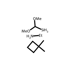 CC1(C)CCC1.CCN.COC([SiH3])OC